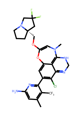 Cc1cc(N)nc(-c2cc3c4c(c2Cl)=NCNC=4N(C)C=C(OC[C@]24CCCN2CC(F)(F)C4)O3)c1C(F)(F)F